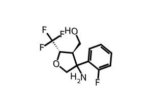 NC1(c2ccccc2F)CO[C@H](C(F)(F)F)[C@H]1CO